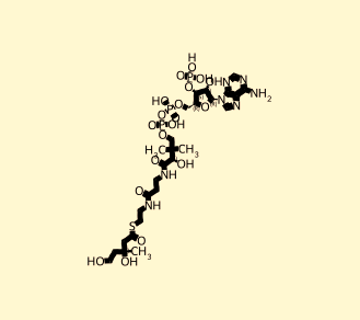 CC(C)(COP(=O)(O)OP(=O)(O)OC[C@H]1O[C@@H](n2cnc3c(N)ncnc32)[C@H](O)[C@@H]1OP(=O)(O)O)[C@@H](O)C(=O)NCCC(=O)NCCSC(=O)C[C@](C)(O)CCO